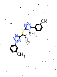 Cc1cccc(-n2nnc(C(C)Sc3nnc(-c4cccc(C#N)c4)n3C)n2)c1